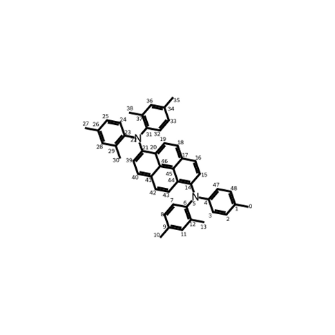 Cc1ccc(N(c2ccc(C)cc2C)c2ccc3ccc4c(N(c5ccc(C)cc5C)c5ccc(C)cc5C)ccc5ccc2c3c54)cc1